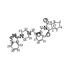 O=C1C2C3CCC(C3)C2C(=O)N1CC1C2C=CC(O2)C1CN1CCN(c2nsc3ccccc23)CC1